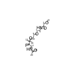 COCC(=O)NCCOCCOC(C)(C)C(F)CNC(C)=O